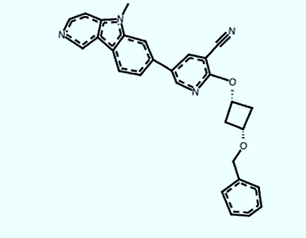 Cn1c2ccncc2c2ccc(-c3cnc(O[C@H]4C[C@@H](OCc5ccccc5)C4)c(C#N)c3)cc21